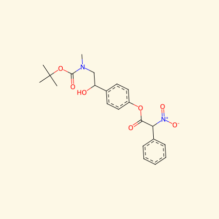 CN(CC(O)c1ccc(OC(=O)C(c2ccccc2)[N+](=O)[O-])cc1)C(=O)OC(C)(C)C